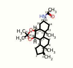 C=C1CCC2C3C(CC[C@]12C)[C@@]1(C)CC[C@@H](NC(C)=O)CC1[C@H]1OC(C)(C)O[C@H]31